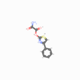 NC(=O)C(=O)Oc1nc(-c2ccccc2)cs1